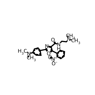 CN(C)CCNC(=O)c1nc(-c2ccc(N(C)C)cc2)oc1-c1ccccc1[N+](=O)[O-]